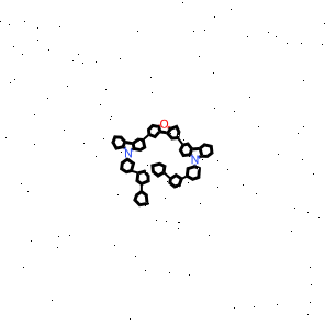 c1ccc(-c2cccc(-c3cccc(-n4c5ccccc5c5cc(-c6ccc7oc8ccc(-c9ccc%10c(c9)c9ccccc9n%10-c9cccc(-c%10cccc(-c%11ccccc%11)c%10)c9)cc8c7c6)ccc54)c3)c2)cc1